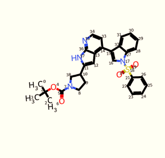 CC(C)(C)OC(=O)N1CCC(c2cc3c(-c4cn(S(=O)(=O)c5ccccc5)c5ccccc45)ccnc3[nH]2)C1